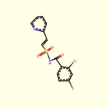 O=C(NS(=O)(=O)C=Cc1ccccn1)c1ccc(F)cc1Cl